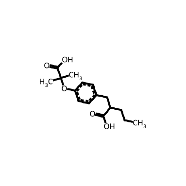 CCCC(Cc1ccc(OC(C)(C)C(=O)O)cc1)C(=O)O